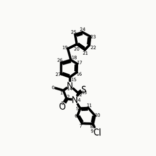 CC1C(=O)N(c2ccc(Cl)cc2)C(=S)N1c1ccc(Cc2ccccc2)cc1